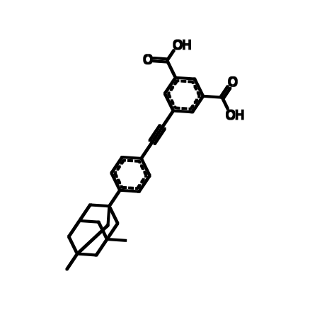 CC12CC3CC(C)(C1)CC(c1ccc(C#Cc4cc(C(=O)O)cc(C(=O)O)c4)cc1)(C3)C2